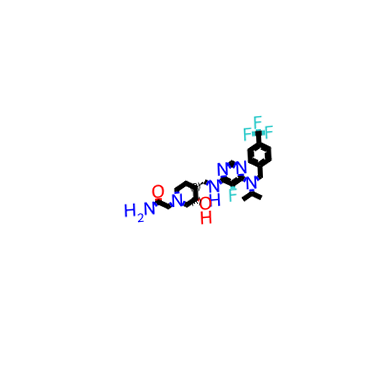 CC(C)N(Cc1ccc(C(F)(F)F)cc1)c1ncnc(NC[C@H]2CCN(CC(N)=O)C[C@@H]2O)c1F